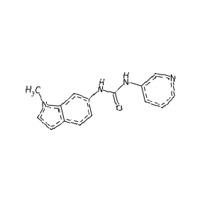 Cn1ccc2ccc(NC(=O)Nc3cccnc3)cc21